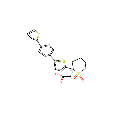 O=C(O)C[C@]1(c2ccc(-c3ccc(-c4cccs4)cc3)s2)CCCCS1(=O)=O